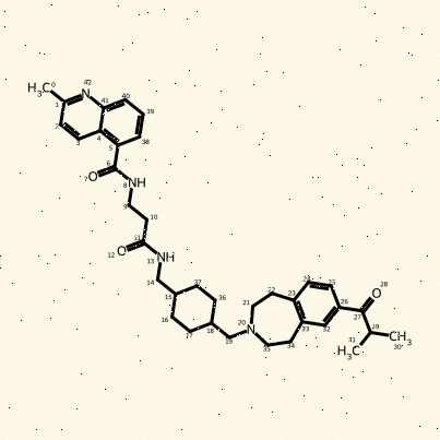 Cc1ccc2c(C(=O)NCCC(=O)NCC3CCC(CN4CCc5ccc(C(=O)C(C)C)cc5CC4)CC3)cccc2n1